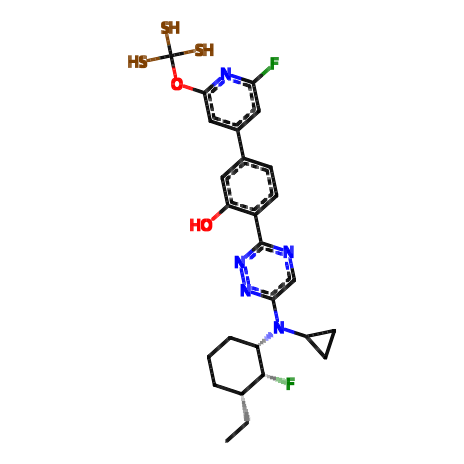 CC[C@@H]1CCC[C@H](N(c2cnc(-c3ccc(-c4cc(F)nc(OC(S)(S)S)c4)cc3O)nn2)C2CC2)[C@@H]1F